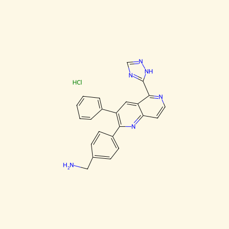 Cl.NCc1ccc(-c2nc3ccnc(-c4ncn[nH]4)c3cc2-c2ccccc2)cc1